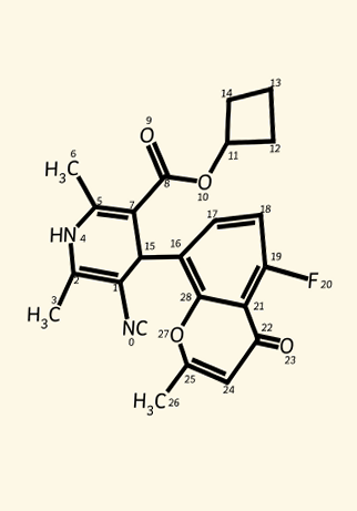 [C-]#[N+]C1=C(C)NC(C)=C(C(=O)OC2CCC2)C1c1ccc(F)c2c(=O)cc(C)oc12